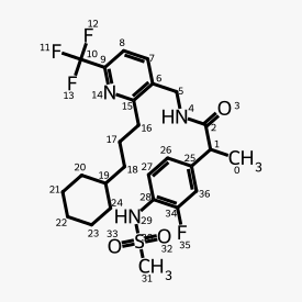 CC(C(=O)NCc1ccc(C(F)(F)F)nc1CCCC1CCCCC1)c1ccc(NS(C)(=O)=O)c(F)c1